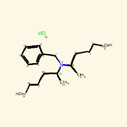 CCCCCCCCCCCCCC(C)N(Cc1ccccc1)C(C)CCCCCCCCCCCCC.Cl